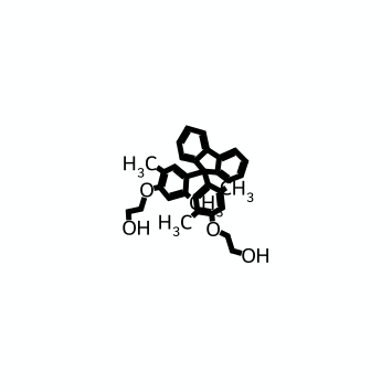 Cc1cc(C2(c3cc(C)c(OCCO)cc3C)c3ccccc3-c3ccccc32)c(C)cc1OCCO